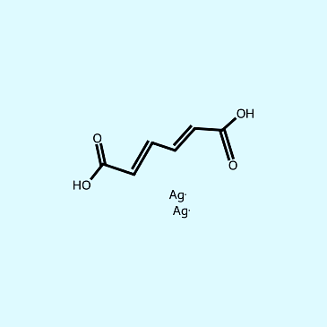 O=C(O)C=CC=CC(=O)O.[Ag].[Ag]